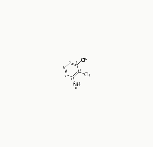 [NH]c1cccc(Cl)c1Cl